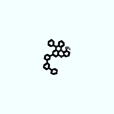 Cc1cccc2c1B1c3ccccc3N(c3ccccc3)c3cc(-c4cccc(-c5cccc(-c6ccccc6)c5)c4)cc(c31)S2